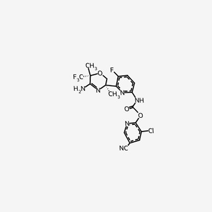 C[C@@]1(c2nc(NC(=O)Oc3ncc(C#N)cc3Cl)ccc2F)CO[C@@](C)(C(F)(F)F)C(N)=N1